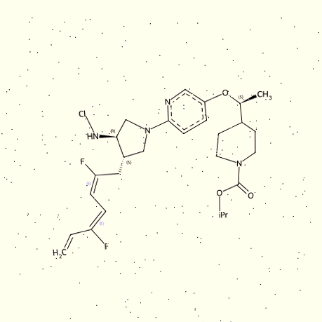 C=C/C(F)=C\C=C(\F)C[C@H]1CN(c2ccc(O[C@@H](C)C3CCN(C(=O)OC(C)C)CC3)cn2)C[C@@H]1NCl